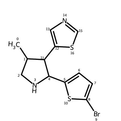 CC1CNC(c2ccc(Br)s2)C1c1cncs1